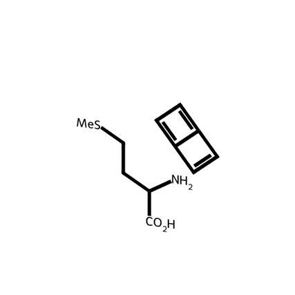 CSCCC(N)C(=O)O.c1cc2ccc1-2